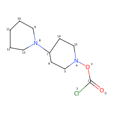 O=C(Cl)ON1CCC(N2CCCCC2)CC1